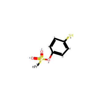 CCCS(=O)(=O)Oc1ccc(S)cc1